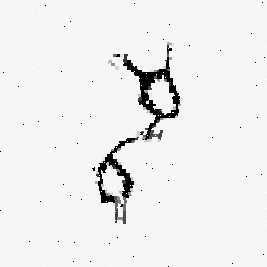 Fc1ccc(NCc2c[nH]cn2)cc1Cl